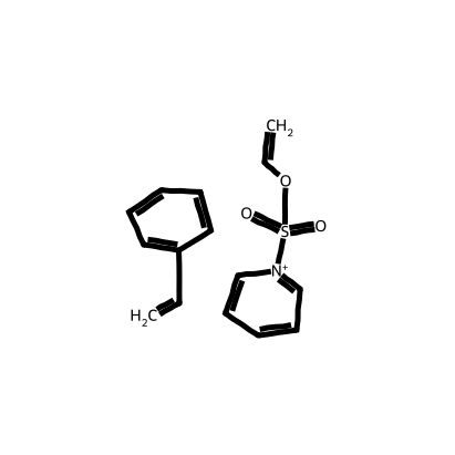 C=COS(=O)(=O)[n+]1ccccc1.C=Cc1ccccc1